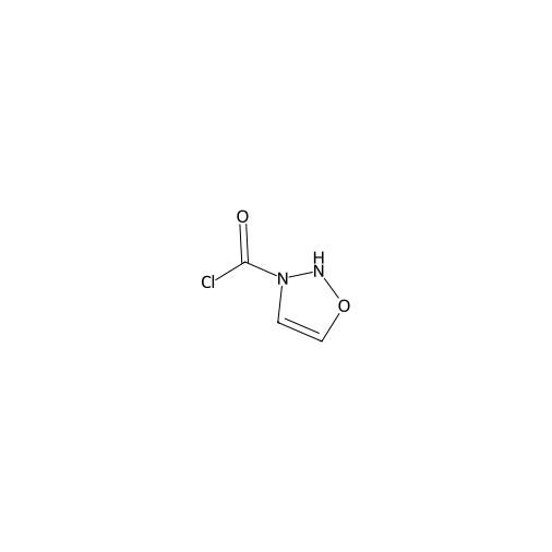 O=C(Cl)N1C=CON1